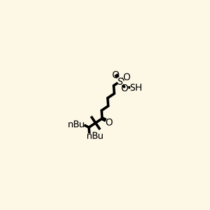 CCCCC(CCCC)C(C)(C)C(=O)CCCCCS(=O)(=O)OS